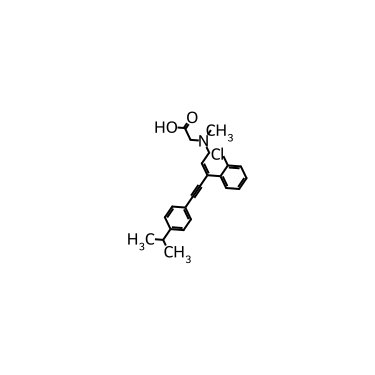 CC(C)c1ccc(C#C/C(=C/CN(C)CC(=O)O)c2ccccc2Cl)cc1